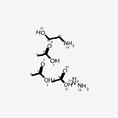 CC(=O)O.CC(=O)O.CC(=O)O.N.N.NCCO